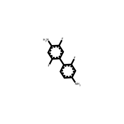 Nc1ccc(-c2cc(F)c(N)cc2F)c(F)c1